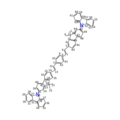 CC1(C)c2cc(/C=C/c3ccc(/C=C/c4ccc5c(c4)C(C)(C)c4cc(-n6c7ccccc7c7ccccc76)ccc4-5)cc3)ccc2-c2ccc(-n3c4ccccc4c4ccccc43)cc21